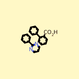 O=C(O)c1ccccc1-c1ccccc1.c1ccc(-c2ncccn2)cc1